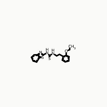 CCOc1ccccc1CCNC(=S)Nc1nc2ccccc2s1